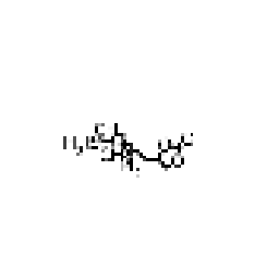 C[Si](C)(C)O[SiH2]CCC1COC(=O)O1